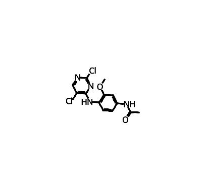 COc1cc(NC(C)=O)ccc1Nc1nc(Cl)ncc1Cl